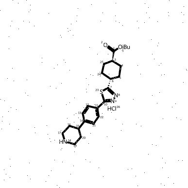 CC(C)COC(=O)[C@H]1CC[C@H](c2nnc(-c3ccc(C4CCNCC4)cc3)s2)CC1.Cl